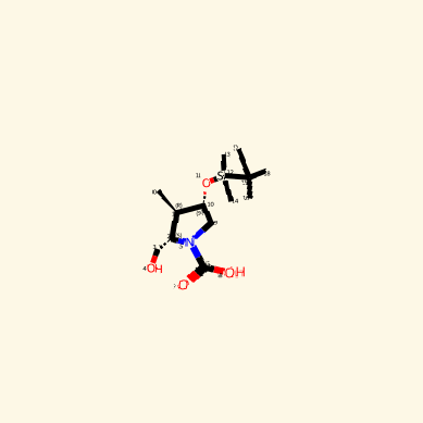 C[C@@H]1[C@@H](CO)N(C(=O)O)C[C@H]1O[Si](C)(C)C(C)(C)C